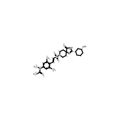 CCC[C@@H]1CCC[C@H](C2=NC3(CCN(S(=O)(=O)/C=C/c4c(C)cc(N(C)C(N)=O)cc4C)CC3)C(=O)N2)C1